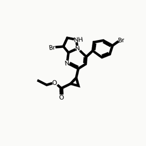 CCOC(=O)C1CC1C1=NC2C(Br)CNN2C(c2ccc(Br)cc2)=C1